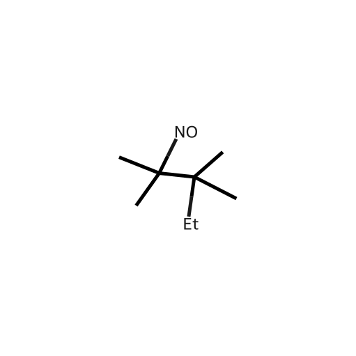 CCC(C)(C)C(C)(C)N=O